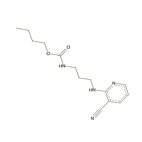 CCCCOC(=O)NCCCNc1ncccc1C#N